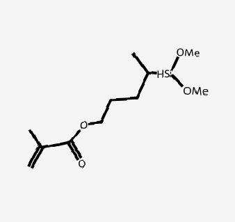 C=C(C)C(=O)OCCCC(C)[SiH](OC)OC